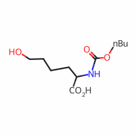 CCCCOC(=O)NC(CCCCO)C(=O)O